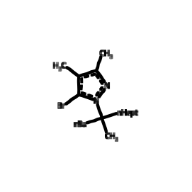 CCCCCCCC(C)(CCCC)n1nc(C)c(C)c1Br